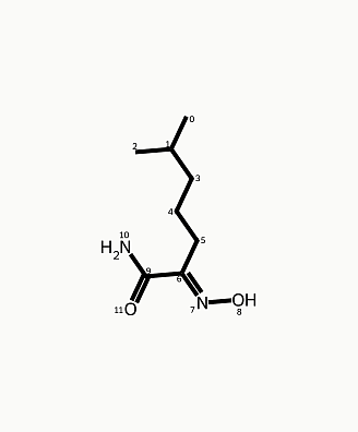 CC(C)CCC/C(=N\O)C(N)=O